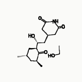 CCO.C[C@@H]1C[C@@H]([C@H](O)CC2CC(=O)NC(=O)C2)C(=O)[C@@H](C)C1